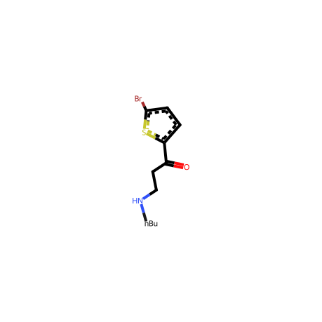 CCCCNCCC(=O)c1ccc(Br)s1